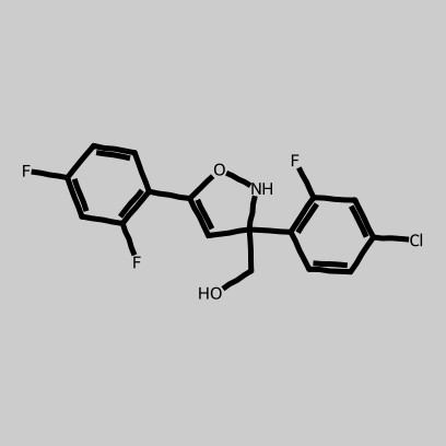 OCC1(c2ccc(Cl)cc2F)C=C(c2ccc(F)cc2F)ON1